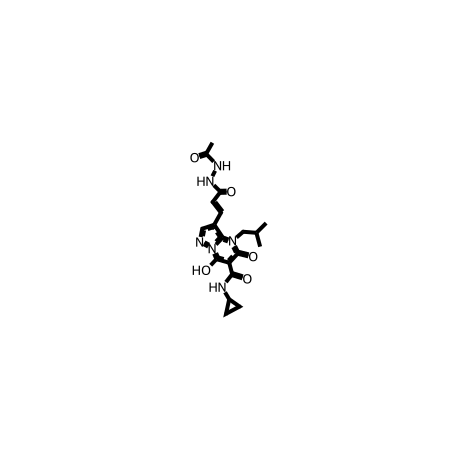 CC(=O)NNC(=O)C=Cc1cnn2c(O)c(C(=O)NC3CC3)c(=O)n(CC(C)C)c12